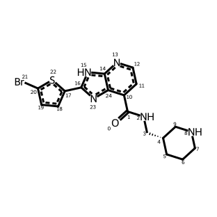 O=C(NC[C@H]1CCCNC1)c1ccnc2[nH]c(-c3ccc(Br)s3)nc12